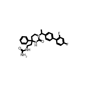 CC(c1ccc(-c2ccc(F)cc2F)cc1)N1CCC(CCNC(N)=O)(c2ccccc2)NC1=O